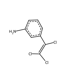 Nc1cccc(C(Cl)=C(Cl)Cl)c1